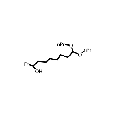 CCCOC(CCCCCCC(O)CC)OCCC